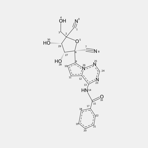 N#CC1(CO)O[C@@](C#N)(c2ccc3c(NC(=O)c4ccccc4)ncnn23)[C@H](O)[C@@H]1O